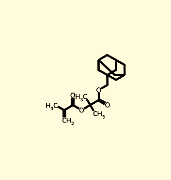 C=C(C)C(=O)OC(C)(C)C(=O)OCC12CC3CC(CC(C3)C1)C2